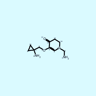 NCN1C=C(OCC2(N)CC2)C(=O)CC1